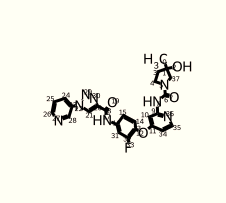 CC1(O)CCN(C(=O)Nc2cc(Oc3ccc(NC(=O)c4cn(-c5cccnc5)nn4)cc3F)ccn2)C1